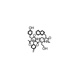 CNC(=O)C(Cc1ccc2ccccc2c1)N1CCN(C(=O)C(Cc2ccc(F)cc2)NC(=O)C(Cc2ccc(O)cc2)NC(C)=O)C(CCO)C1